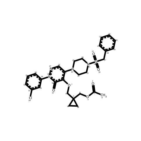 CC(=O)OCC1(COc2c(N3CCN(S(=O)(=O)Cc4ccccc4)CC3)cnn(-c3cccc(Cl)c3)c2=O)CC1